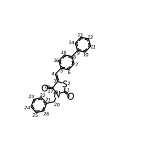 O=C1S/C(=C\c2ccc(-c3ccccc3)cc2)C(=O)N1Cc1ccccc1